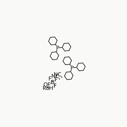 C1CCC(P(C2CCCCC2)C2CCCCC2)CC1.C1CCC(P(C2CCCCC2)C2CCCCC2)CC1.CC#N.CC#N.F[B-](F)(F)F.[C]=O.[RuH+]